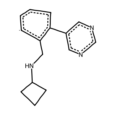 [c]1cccc(-c2cncnc2)c1CNC1CCC1